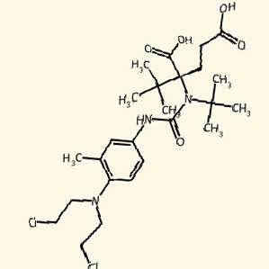 Cc1cc(NC(=O)N(C(C)(C)C)[C@@](CCC(=O)O)(C(=O)O)C(C)(C)C)ccc1N(CCCl)CCCl